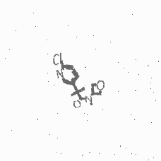 CN(C(=O)C(C)(C)c1ccc(Cl)nc1)C1COC1